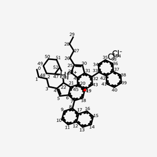 CCCCC1=Cc2c(-c3cccc4ccccc34)cccc2[CH]1[Hf+2]1([CH]2C(CCCC)=Cc3c(-c4cccc5ccccc45)cccc32)[CH]2CCCC[CH]21.[Cl-].[Cl-]